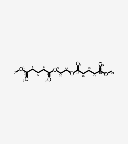 COC(=O)CCCC(=O)OCCOC(=O)CCCC(=O)OC